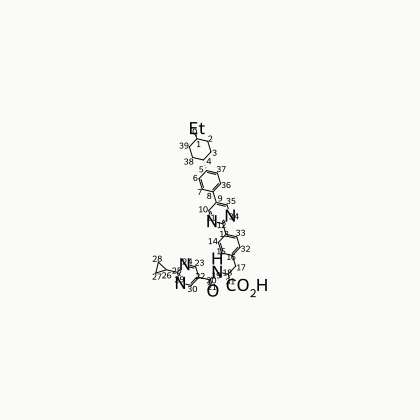 CC[C@H]1CC[C@H](c2ccc(-c3cnc(-c4ccc(C[C@H](NC(=O)c5cnc(C6CC6)nc5)C(=O)O)cc4)nc3)cc2)CC1